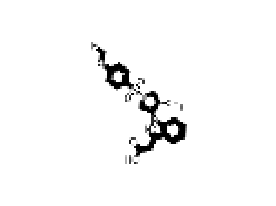 C[C@@H]1CN(S(=O)(=O)c2ccc(OCF)cc2)C[C@@H]1n1nc(CC(=O)O)c2ccccc21